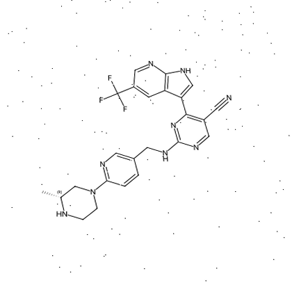 C[C@@H]1CN(c2ccc(CNc3ncc(C#N)c(-c4c[nH]c5ncc(C(F)(F)F)cc45)n3)cn2)CCN1